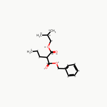 CCCC(C(=O)OCc1ccccc1)C(=O)OCC(C)C